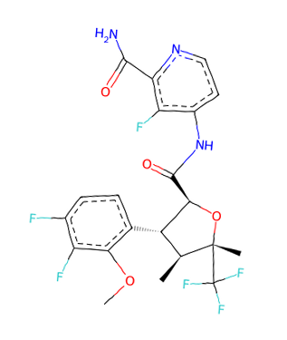 COc1c([C@@H]2[C@@H](C(=O)Nc3ccnc(C(N)=O)c3F)O[C@](C)(C(F)(F)F)[C@H]2C)ccc(F)c1F